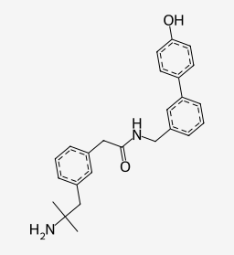 CC(C)(N)Cc1cccc(CC(=O)NCc2cccc(-c3ccc(O)cc3)c2)c1